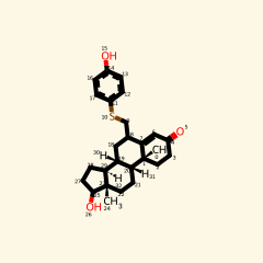 C[C@]12CCC(=O)C=C1C(CSc1ccc(O)cc1)C[C@@H]1[C@H]2CC[C@]2(C)C(O)CC[C@@H]12